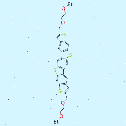 CCOCCOCc1cc2cc3c(cc2s1)sc1cc2c(cc13)sc1cc3sc(COCCOCC)cc3cc12